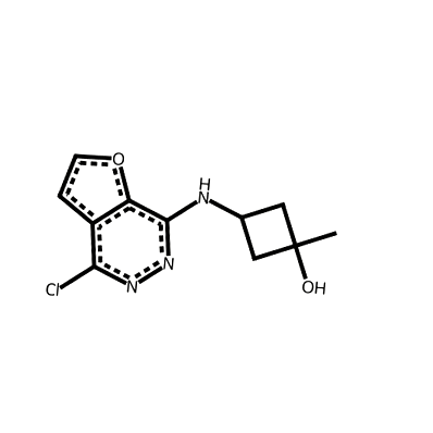 CC1(O)CC(Nc2nnc(Cl)c3ccoc23)C1